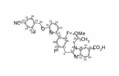 CO[C@@H](C)Cn1c(Cc2cc(F)c(-c3cccc(OCc4ccc(C#N)cc4F)n3)cc2F)nc2ccc(C(=O)O)cc21